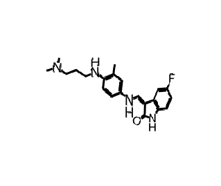 Cc1cc(N/C=C2\C(=O)Nc3ccc(F)cc32)ccc1NCCCN(C)C